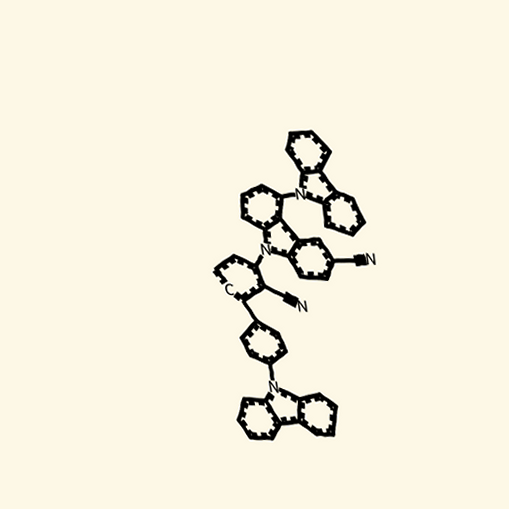 N#Cc1ccc2c(c1)c1c(-n3c4ccccc4c4ccccc43)cccc1n2-c1cccc(-c2ccc(-n3c4ccccc4c4ccccc43)cc2)c1C#N